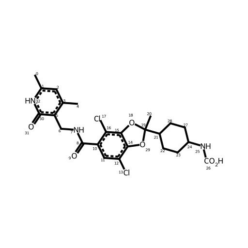 Cc1cc(C)c(CNC(=O)c2cc(Cl)c3c(c2Cl)OC(C)(C2CCC(NC(=O)O)CC2)O3)c(=O)[nH]1